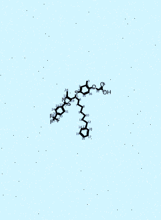 Cc1cc(SC(CCCCCCCc2ccccc2)c2sc(-c3ccc(C(F)(F)F)cc3)nc2C)ccc1OCC(=O)O